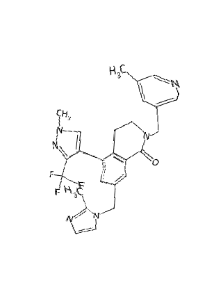 Cc1cncc(CN2CCc3c(cc(Cn4ccnc4C)cc3-c3cn(C)nc3C(F)(F)F)C2=O)c1